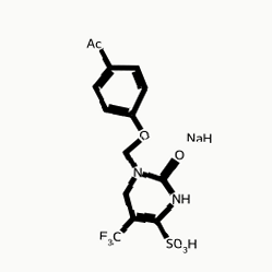 CC(=O)c1ccc(OCN2CC(C(F)(F)F)=C(S(=O)(=O)O)NC2=O)cc1.[NaH]